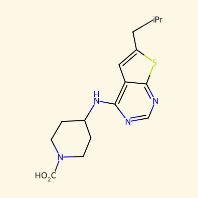 CC(C)Cc1cc2c(NC3CCN(C(=O)O)CC3)ncnc2s1